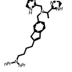 CCCN(CCC)CCCCC1=Cc2ccc(CN(Cc3ncc[nH]3)C(C)c3ncc[nH]3)cc2C1